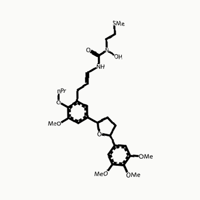 CCCOc1c(CC=CNC(=O)N(O)CCSC)cc(C2CCC(c3cc(OC)c(OC)c(OC)c3)O2)cc1OC